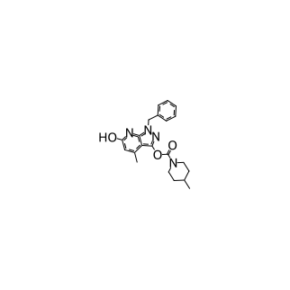 Cc1cc(O)nc2c1c(OC(=O)N1CCC(C)CC1)nn2Cc1ccccc1